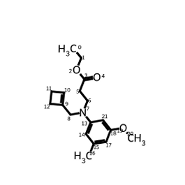 CCOC(=O)CCN(CC1=CCC1)c1cc(C)cc(OC)c1